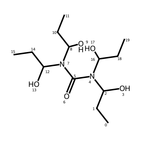 CCC(O)N(C(=O)N(C(O)CC)C(O)CC)C(O)CC